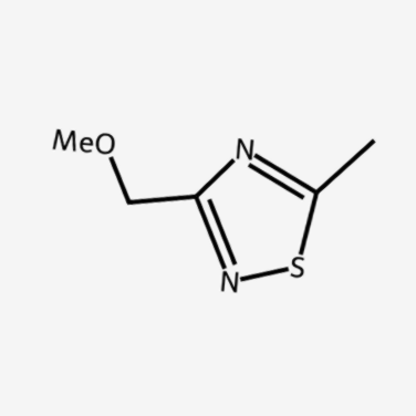 COCc1nsc(C)n1